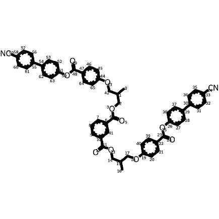 CC(COC(=O)c1cccc(C(=O)OCC(C)COc2ccc(C(=O)Oc3ccc(-c4ccc(C#N)cc4)cc3)cc2)c1)COc1ccc(C(=O)Oc2ccc(-c3ccc(C#N)cc3)cc2)cc1